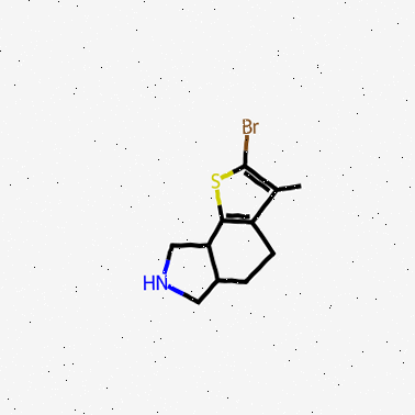 Cc1c(Br)sc2c1CCC1CNCC21